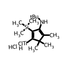 CC1=C(NC(C)(C)C)C([Si](C)(C)C)=[C]([Ti])C1(C)C.Cl.Cl